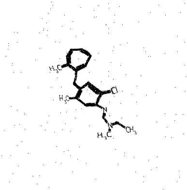 CCN(C)C=Nc1cc(C)c(Cc2ccccc2C)cc1Cl